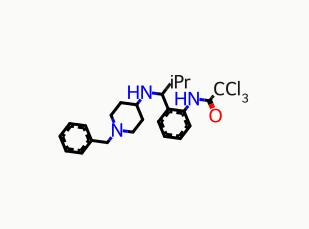 CC(C)C(NC1CCN(Cc2ccccc2)CC1)c1ccccc1NC(=O)C(Cl)(Cl)Cl